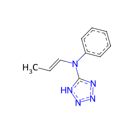 CC=CN(c1ccccc1)c1nnn[nH]1